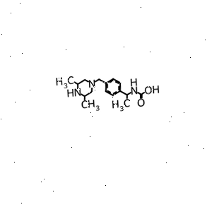 CC1CN(Cc2ccc(C(C)NC(=O)O)cc2)CC(C)N1